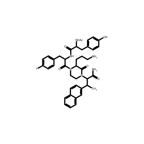 CC(=O)NC(Cc1ccc(O)cc1)C(=O)NC(Cc1ccc(F)cc1)C(=O)N1CCN(C(C(N)=O)C(C)c2ccc3ccccc3c2)C(=O)C1CCCN